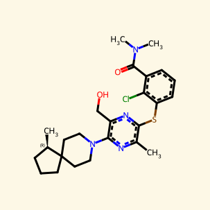 Cc1nc(N2CCC3(CCC[C@H]3C)CC2)c(CO)nc1Sc1cccc(C(=O)N(C)C)c1Cl